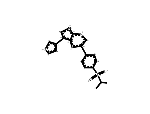 CC(C)S(=O)(=O)c1ccc(-c2cnc3[nH]cc(-c4ccsc4)c3n2)cc1